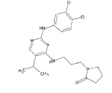 CC(C)c1cnc(Nc2ccc(Cl)c(Cl)c2)nc1NCCCN1CCCC1=O